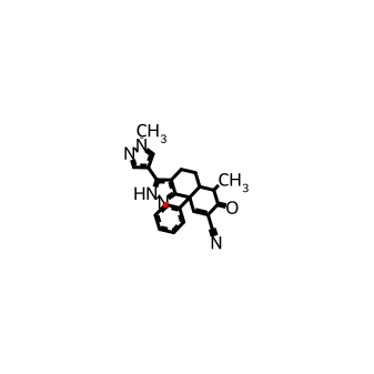 CC1C(=O)C(C#N)=CC2(c3ccccc3)c3n[nH]c(-c4cnn(C)c4)c3CCC12